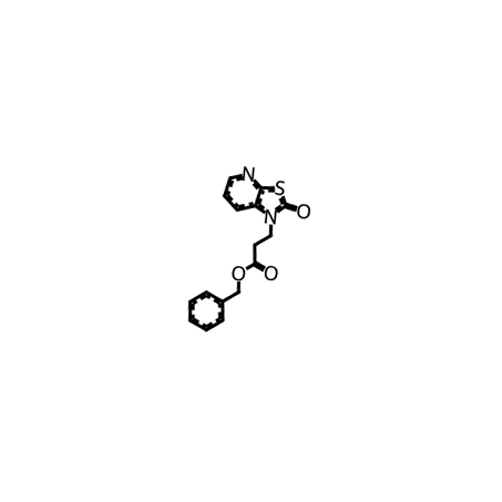 O=C(CCn1c(=O)sc2ncccc21)OCc1ccccc1